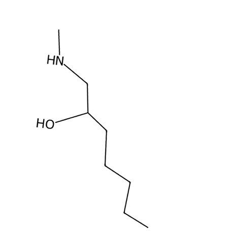 CCCCCC(O)CNC